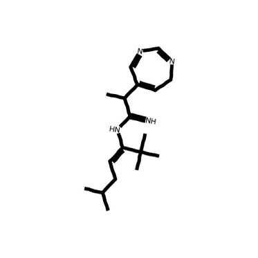 CC(C)C/C=C(/NC(=N)C(C)C1=CCN=CN=C1)C(C)(C)C